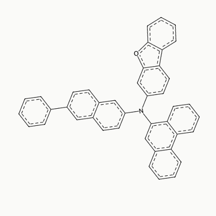 c1ccc(-c2ccc3cc(N(c4ccc5c(c4)oc4ccccc45)c4cc5ccccc5c5ccccc45)ccc3c2)cc1